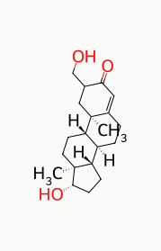 C[C@]12CC[C@H]3[C@@H](CCC4=CC(=O)C(CO)C[C@@]43C)[C@@H]1CC[C@@H]2O